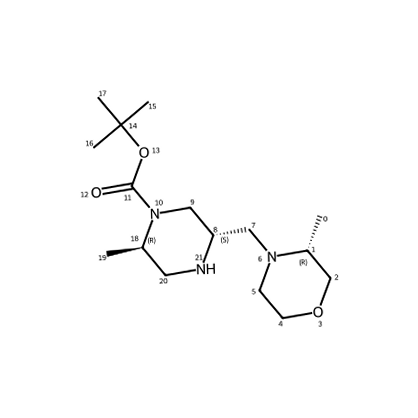 C[C@@H]1COCCN1C[C@H]1CN(C(=O)OC(C)(C)C)[C@H](C)CN1